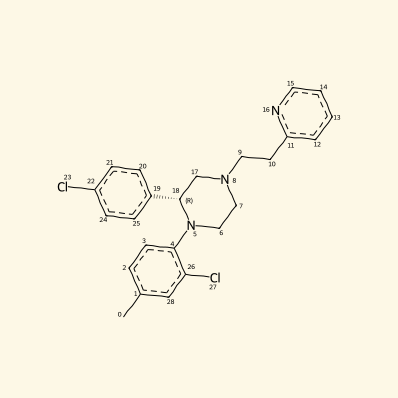 Cc1ccc(N2CCN(CCc3ccccn3)C[C@H]2c2ccc(Cl)cc2)c(Cl)c1